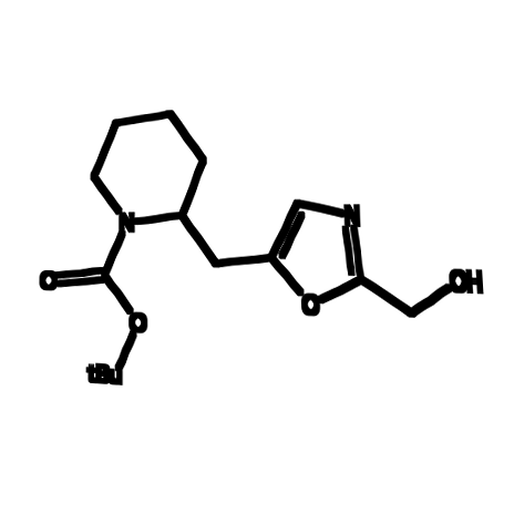 CC(C)(C)OC(=O)N1CCCCC1Cc1cnc(CO)o1